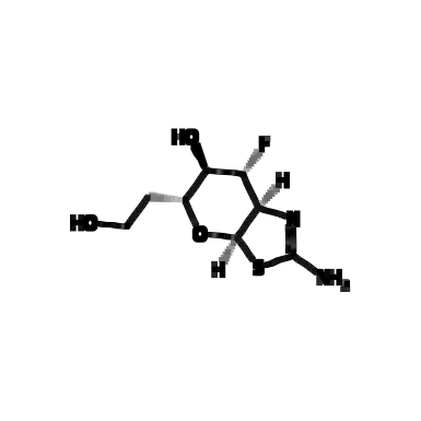 NC1=N[C@@H]2[C@@H](F)[C@H](O)[C@@H](CCO)O[C@@H]2S1